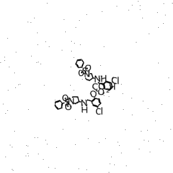 O=C(O)C(Oc1ccc(Cl)cc1CNC1CCN(S(=O)(=O)c2ccccc2)C1)Oc1ccc(Cl)cc1CNC1CCN(S(=O)(=O)c2ccccc2)C1